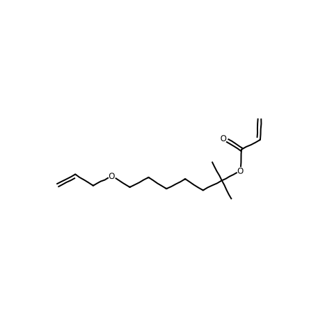 C=CCOCCCCCC(C)(C)OC(=O)C=C